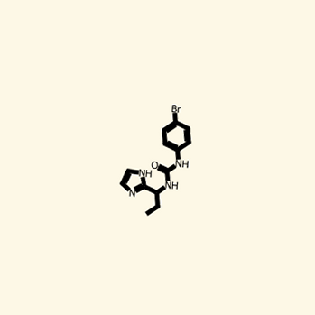 CCC(NC(=O)Nc1ccc(Br)cc1)c1ncc[nH]1